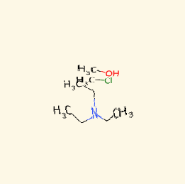 CCN(CC)CC.CCl.CO